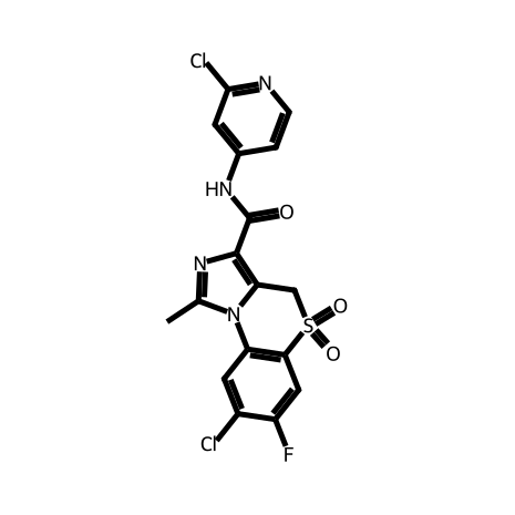 Cc1nc(C(=O)Nc2ccnc(Cl)c2)c2n1-c1cc(Cl)c(F)cc1S(=O)(=O)C2